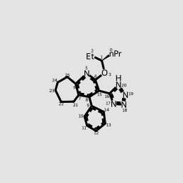 CCC[C@H](CC)Oc1nc2c(c(-c3ccccc3)c1-c1nnn[nH]1)CCCCC2